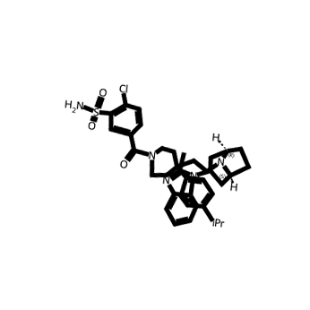 Cc1nc2ccccc2n1C1C[C@H]2CC[C@@H](C1)N2CCC1(c2ccc(C(C)C)cc2)CCN(C(=O)c2ccc(Cl)c(S(N)(=O)=O)c2)CC1